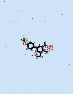 CC(O)c1cc(-c2ccc(OC(F)(F)F)cc2)c2c(c1CO)CCO2